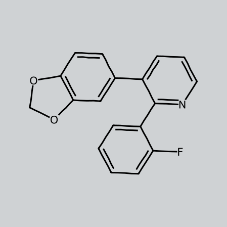 Fc1ccccc1-c1ncccc1-c1ccc2c(c1)OCO2